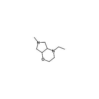 CCN1CCOC2CN(C)CC21